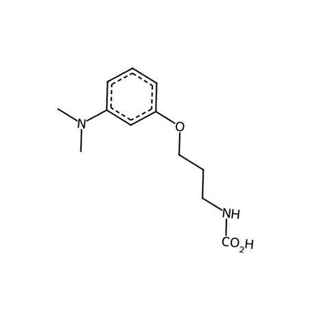 CN(C)c1cccc(OCCCNC(=O)O)c1